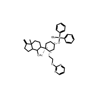 C=C1CCC2C(OC(C)=O)C([C@@]3(C)CC[C@H](O[Si](c4ccccc4)(c4ccccc4)C(C)(C)C)C[C@@H]3CCOc3ncccn3)CCC12C